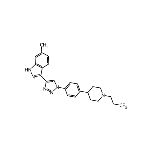 Cc1ccc2c(-c3cn(-c4ccc(C5CCN(CCC(F)(F)F)CC5)cc4)nn3)n[nH]c2c1